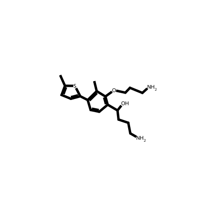 Cc1ccc(-c2ccc(C(O)CCCN)c(OCCCN)c2C)s1